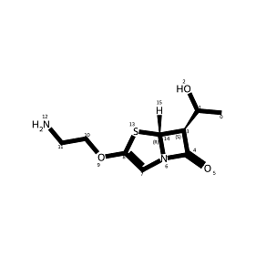 CC(O)[C@H]1C(=O)N2C=C(OCCN)S[C@H]12